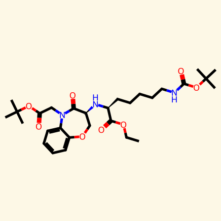 CCOC(=O)[C@H](CCCCCNC(=O)OC(C)(C)C)N[C@H]1COc2ccccc2N(CC(=O)OC(C)(C)C)C1=O